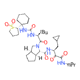 CCCNC(=O)C(=O)[C@H](CC1CC1)NC(=O)[C@@H]1[C@H]2CCC[C@H]2CN1C(=O)[C@@H](NC(=O)NC1([C@@H]2CCCS2(=O)=O)CCCCC1)C(C)(C)C